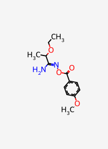 CCOC(C)/C(N)=N/OC(=O)c1ccc(OC)cc1